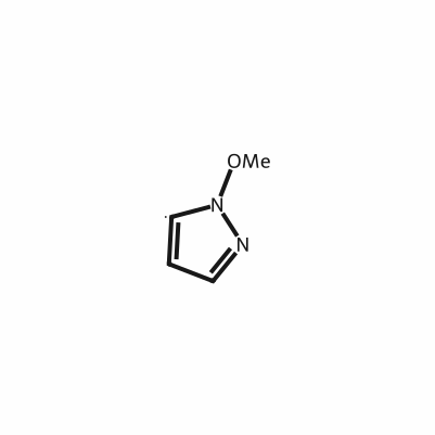 COn1[c]ccn1